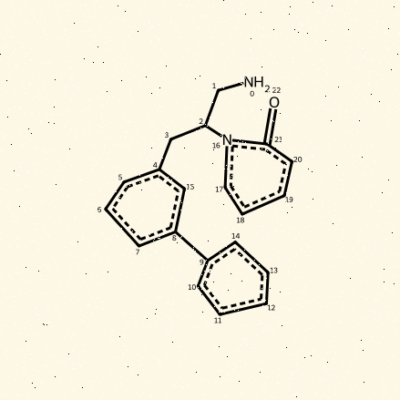 NCC(Cc1cccc(-c2ccccc2)c1)n1ccccc1=O